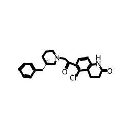 O=C1CCc2c(ccc(C(=O)CN3CCC[C@@H](Cc4ccccc4)C3)c2Cl)N1